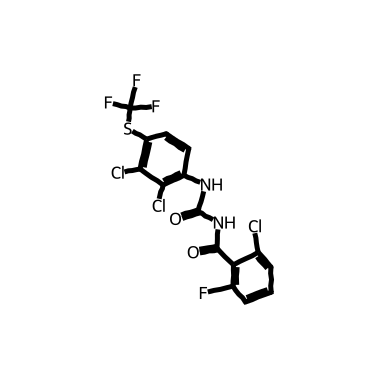 O=C(NC(=O)c1c(F)cccc1Cl)Nc1ccc(SC(F)(F)F)c(Cl)c1Cl